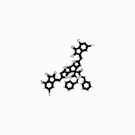 O=C1C(=O)c2c(F)cc(F)cc2/C1=C/c1cc2c(s1)-c1sc3cc(/C=C4\C(=O)C(=O)c5c(F)cc(F)cc54)sc3c1C2(C(=O)OCc1ccccc1)C(=O)OCc1ccccc1